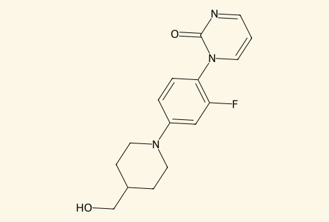 O=c1ncccn1-c1ccc(N2CCC(CO)CC2)cc1F